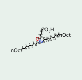 CCCCCCCCC=CCCCCCCCCN(CCCCCCCCC=CCCCCCCCC)C(=O)CCCCC(=O)O